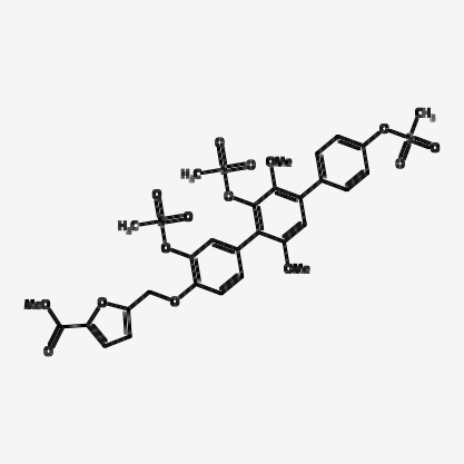 COC(=O)c1ccc(COc2ccc(-c3c(OC)cc(-c4ccc(OS(C)(=O)=O)cc4)c(OC)c3OS(C)(=O)=O)cc2OS(C)(=O)=O)o1